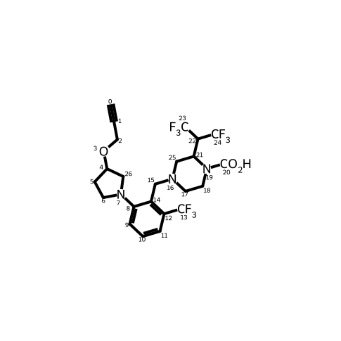 C#CCOC1CCN(c2cccc(C(F)(F)F)c2CN2CCN(C(=O)O)C(C(C(F)(F)F)C(F)(F)F)C2)C1